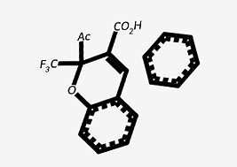 CC(=O)C1(C(F)(F)F)Oc2ccccc2C=C1C(=O)O.c1ccccc1